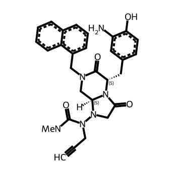 C#CCN(C(=O)NC)N1CC(=O)N2[C@@H](Cc3ccc(O)c(N)c3)C(=O)N(Cc3cccc4ccccc34)C[C@@H]21